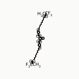 C=C(C(=O)OCCCCCCCCCCCOc1ccc(C(=O)Oc2ccc(OC(=O)c3ccc(OCCCCCCCCCCCOC(=O)C(=C)C(F)(F)F)cc3)c3c2C2CCC3C2)cc1)C(F)(F)F